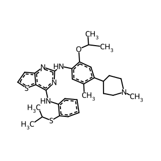 Cc1cc(Nc2nc(Nc3ccccc3SC(C)C)c3sccc3n2)c(OC(C)C)cc1C1CCN(C)CC1